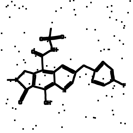 CN1Cc2c(c(O)c3ncc(Cc4ccc(F)cc4)cc3c2C(=O)NS(C)(=O)=O)C1=O